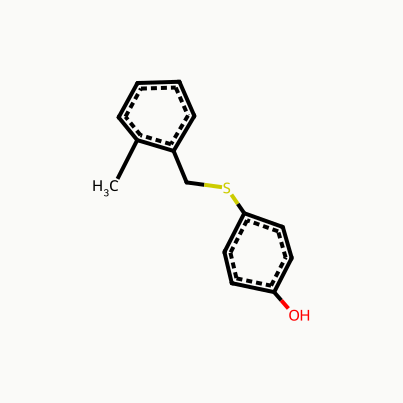 Cc1ccccc1CSc1ccc(O)cc1